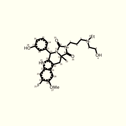 CCN(CCO)CCCN1C(=O)N2C(c3cccc(O)c3)c3[nH]c4cc(F)c(OC)cc4c3CC2(C)C1=O